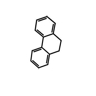 [c]1ccc2c(c1)CCc1c[c]ccc1-2